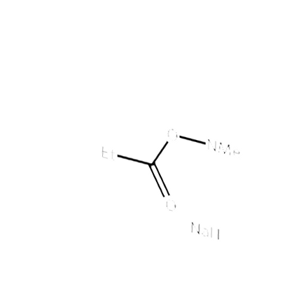 CCC(=O)ONC.[NaH]